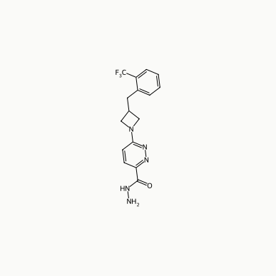 NNC(=O)c1ccc(N2CC(Cc3ccccc3C(F)(F)F)C2)nn1